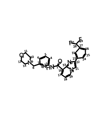 O=C(Nc1cccc(CN2CCOCC2)n1)c1cccn2cc(-c3cccc(C(F)F)c3)nc12